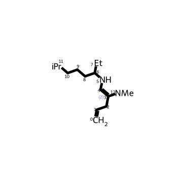 C=CC/C(=C/NC(CC)CCCC(C)C)NC